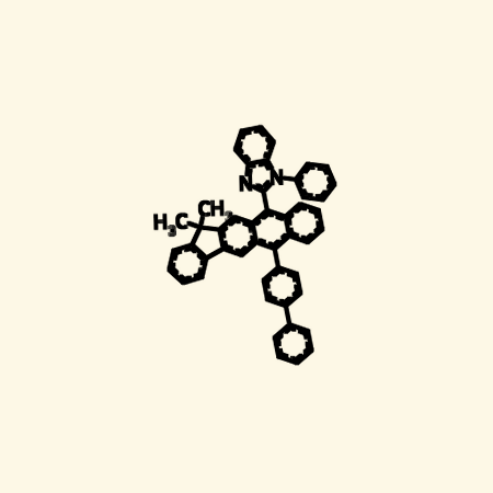 CC1(C)c2ccccc2-c2cc3c(-c4ccc(-c5ccccc5)cc4)c4ccccc4c(-c4nc5ccccc5n4-c4ccccc4)c3cc21